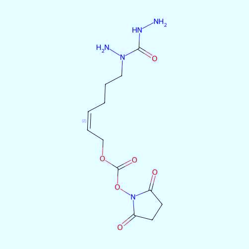 NNC(=O)N(N)CCC/C=C\COC(=O)ON1C(=O)CCC1=O